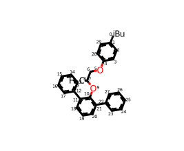 CCC(C)c1ccc(OCC(C)Oc2c(-c3ccccc3)cccc2-c2ccccc2)cc1